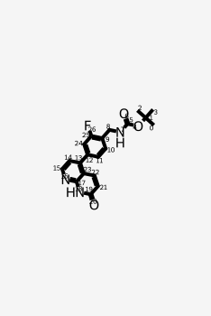 CC(C)(C)OC(=O)NCc1ccc(-c2ccnc3[nH]c(=O)ccc23)cc1F